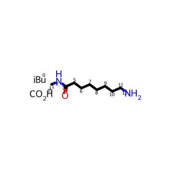 CC[C@H](C)[C@H](NC(=O)CCCCCCCN)C(=O)O